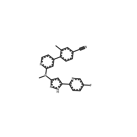 Cc1cc(C#N)ccc1-c1ccnc(N(C)c2cc(-c3ccc(F)cn3)[nH]n2)c1